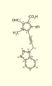 CCc1c(C(=O)O)c(C=O)n(C)c1C#CCn1nnc2ccccc21